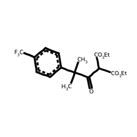 CCOC(=O)C(C(=O)OCC)C(=O)C(C)(C)c1ccc(C(F)(F)F)cc1